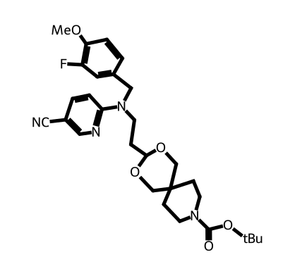 COc1ccc(CN(CCC2OCC3(CCN(C(=O)OC(C)(C)C)CC3)CO2)c2ccc(C#N)cn2)cc1F